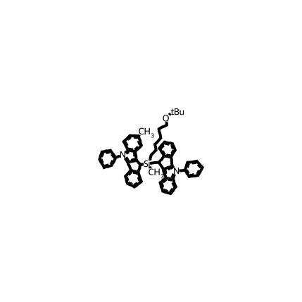 Cc1ccc2c(c1)c1c(n2-c2ccccc2)-c2ccccc2C1[Si](C)(CCCCCCOC(C)(C)C)C1c2ccccc2-c2c1c1ccccc1n2-c1ccccc1